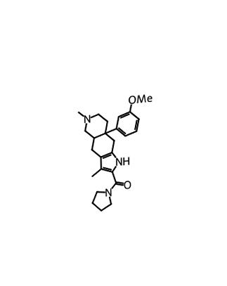 COc1cccc(C23CCN(C)CC2Cc2c([nH]c(C(=O)N4CCCC4)c2C)C3)c1